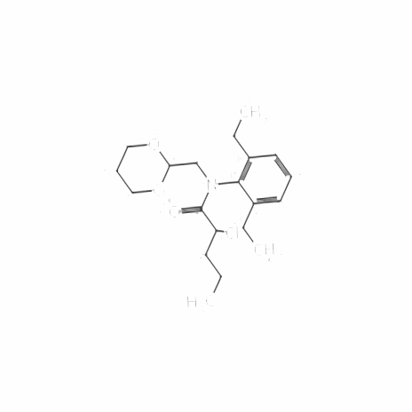 CCCC(Cl)C(=O)N(CC1OCCCO1)c1c(CC)cccc1CC